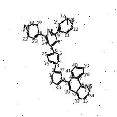 c1cc(-c2ccc(-c3cc(-c4ccncc4)nc(-c4ccncc4)c3)cc2)cc(-c2cc3cccnc3c3ccccc23)c1